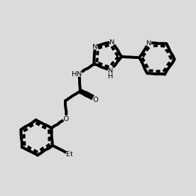 CCc1ccccc1OCC(=O)Nc1nnc(-c2ccccn2)[nH]1